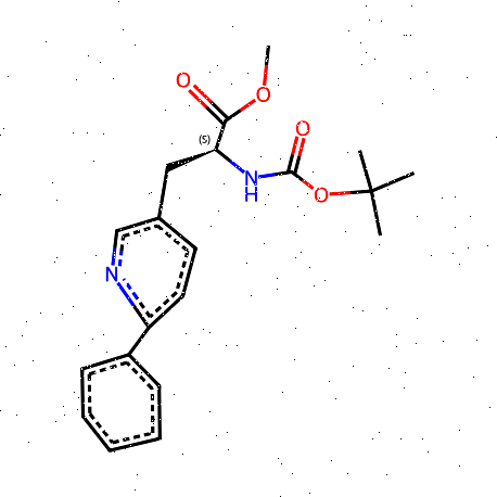 COC(=O)[C@H](Cc1ccc(-c2ccccc2)nc1)NC(=O)OC(C)(C)C